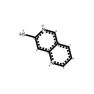 Sc1cc2ncccc2cn1